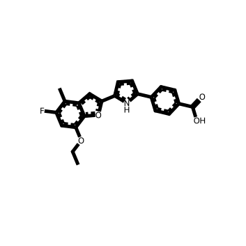 CCOc1cc(F)c(C)c2cc(-c3ccc(-c4ccc(C(=O)O)cc4)[nH]3)oc12